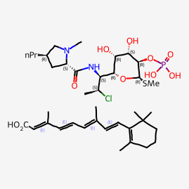 CC1=C(/C=C/C(C)=C/C=C/C(C)=C/C(=O)O)C(C)(C)CCC1.CCC[C@@H]1C[C@@H](C(=O)N[C@@H]([C@H]2O[C@H](SC)[C@H](OP(=O)(O)O)[C@@H](O)[C@H]2O)[C@H](C)Cl)N(C)C1